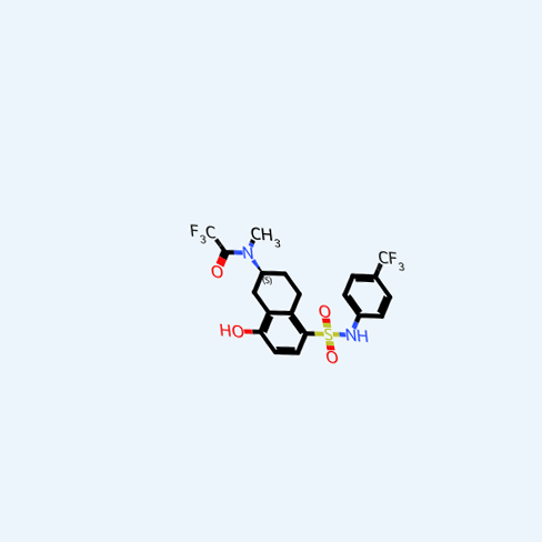 CN(C(=O)C(F)(F)F)[C@H]1CCc2c(S(=O)(=O)Nc3ccc(C(F)(F)F)cc3)ccc(O)c2C1